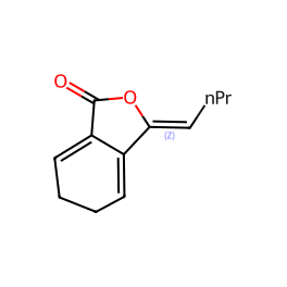 CCC/C=C1\OC(=O)C2=CCCC=C21